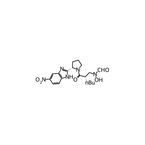 CCCC[C@@H](CN(O)C=O)C(=O)N1CCC[C@H]1c1nc2cc([N+](=O)[O-])ccc2[nH]1